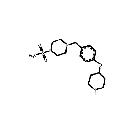 CS(=O)(=O)N1CCN(Cc2ccc(OC3CCNCC3)cc2)CC1